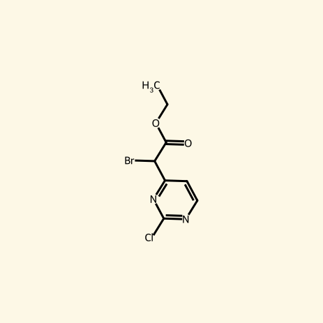 CCOC(=O)C(Br)c1ccnc(Cl)n1